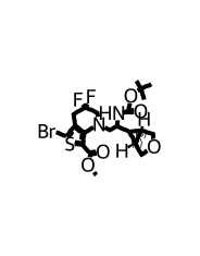 COC(=O)c1sc(Br)c2c1N(CC(NC(=O)OC(C)(C)C)C1[C@H]3COC[C@@H]13)CC(F)(F)C2